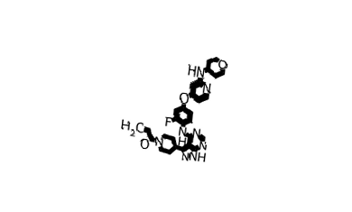 C=CC(=O)N1CCC(c2n[nH]c3ncnc(Nc4ccc(Oc5ccnc(NC6CCOCC6)c5)cc4F)c23)CC1